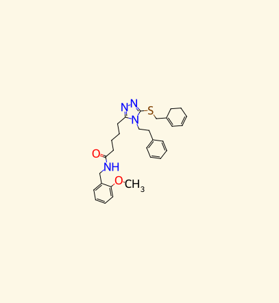 COc1ccccc1CNC(=O)CCCCc1nnc(SCC2=CC=CCC2)n1CCc1ccccc1